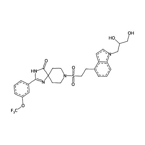 O=C1NC(c2cccc(OC(F)(F)F)c2)=NC12CCN(S(=O)(=O)CCc1cccc3c1ccn3CC(O)CO)CC2